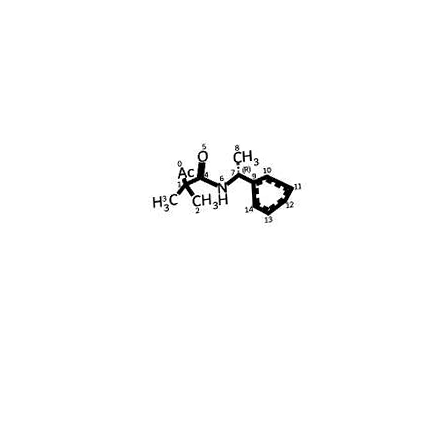 CC(=O)C(C)(C)C(=O)N[C@H](C)c1ccccc1